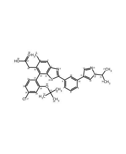 Cc1cc2nc(-c3cccc(-c4cnn(C(C)C)c4)c3)sc2c(-c2ccc(Cl)cc2OC(C)(C)C)c1CC(=O)O